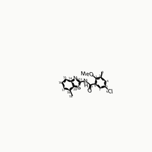 COc1c(C)cc(Cl)cc1C(=O)Nc1nc2cccc(C)c2s1